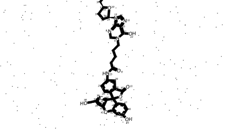 O=C(CCCCN1CN=c2c(ncn2[C@H]2CC[C@@H](CO)O2)=C1O)Nc1ccc2c(c1)C(=O)OC21c2ccc(O)cc2Oc2cc(O)ccc21